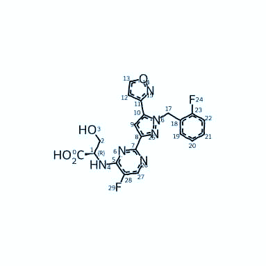 O=C(O)[C@@H](CO)Nc1nc(-c2cc(-c3ccon3)n(Cc3ccccc3F)n2)ncc1F